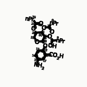 CCCC(=O)O[C@@H]1[C@@H](OC(O)CCC)[C@@H](Oc2ccc(N)cc2C(=O)O)OC[C@@H]1OC(=O)CCC